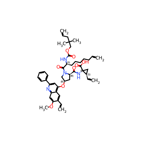 C=CCCCCC[C@H](NC(=O)OCC(C)(C)CC=C)C(=O)N1C[C@H](Oc2cc(-c3ccccc3)nc3cc(OC)c(C=C)cc23)C[C@@H]1C(=O)N[C@]1(C(=O)O)C[C@H]1C=C